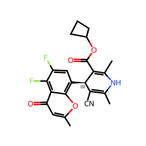 CC1=C(C#N)[C@@H](c2cc(F)c(F)c3c(=O)cc(C)oc23)C(C(=O)OC2CCC2)=C(C)N1